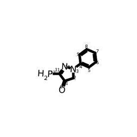 O=C1CN(c2ccccc2)N=C1P